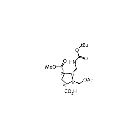 COC(=O)[C@H]1C[C@@H](C(=O)O)[C@H](COC(C)=O)[C@@H]1CNC(=O)OC(C)(C)C